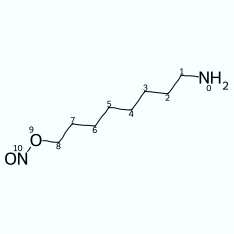 NCCCCCCCCON=O